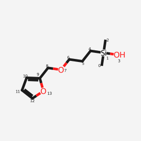 C[Si](C)(O)CCCOCc1ccco1